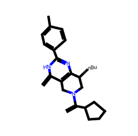 C=C1NC(c2ccc(C)cc2)=NC2=C1CN(C(=C)C1CCCC1)CC2CCCC